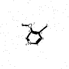 [CH2]c1ccncc1OC